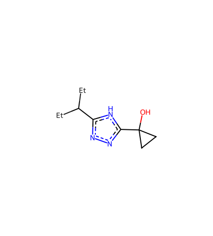 CCC(CC)c1nnc(C2(O)CC2)[nH]1